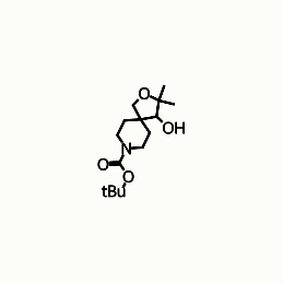 CC(C)(C)OC(=O)N1CCC2(CC1)COC(C)(C)C2O